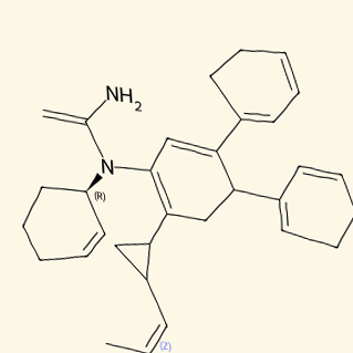 C=C(N)N(C1=C(C2CC2/C=C\C)CC(C2=CCCC=C2)C(C2=CC=CCC2)=C1)[C@H]1C=CCCC1